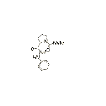 CNC(=O)N1CCCC1C(=O)NNc1ccccc1